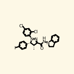 C[C@H]1C(C(=O)NN2CCc3ccccc32)=NN(c2ccc(Cl)cc2Cl)[C@H]1c1ccc(I)cc1